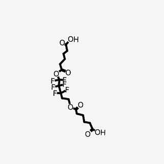 O=C(O)CCCCC(=O)OCCC(F)(F)C(F)(F)C(F)(F)OC(=O)CCCCC(=O)O